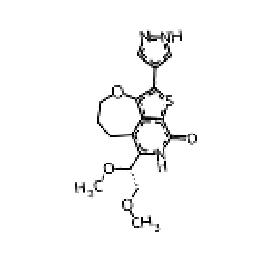 COC[C@H](OC)c1[nH]c(=O)c2sc(-c3cn[nH]c3)c3c2c1CCCO3